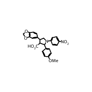 COc1ccc(C2C(C(=O)O)C(c3ccc4c(c3)OCO4)CN2c2ccc([N+](=O)[O-])cc2)cc1